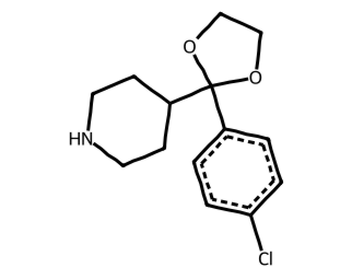 Clc1ccc(C2(C3CCNCC3)OCCO2)cc1